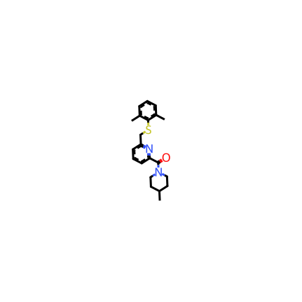 Cc1cccc(C)c1SCc1cccc(C(=O)N2CCC(C)CC2)n1